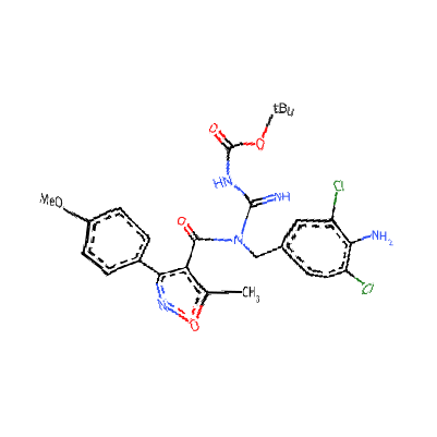 COc1ccc(-c2noc(C)c2C(=O)N(Cc2cc(Cl)c(N)c(Cl)c2)C(=N)NC(=O)OC(C)(C)C)cc1